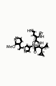 COc1nnccc1C(C)n1cc(NC(=O)C(NC(=O)/C(=C/C=N)NC(C)C)C(C2CC2)C2CC2)cn1